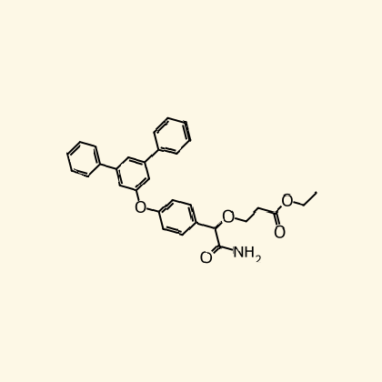 CCOC(=O)CCOC(C(N)=O)c1ccc(Oc2cc(-c3ccccc3)cc(-c3ccccc3)c2)cc1